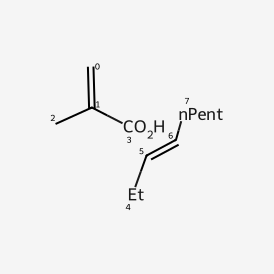 C=C(C)C(=O)O.CCC=CCCCCC